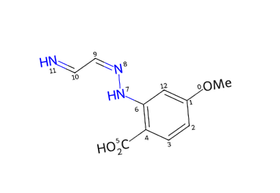 COc1ccc(C(=O)O)c(N/N=C\C=N)c1